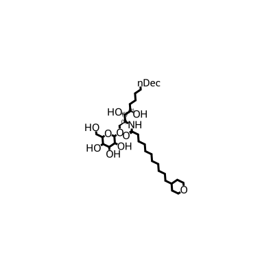 CCCCCCCCCCCCCC[C@@H](O)[C@@H](O)[C@H](COC1OC(CO)C(O)C(O)C1O)NC(=O)CCCCCCCCCCC1CCOCC1